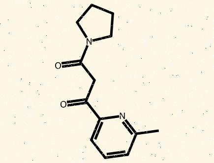 Cc1cccc(C(=O)CC(=O)N2CCCC2)n1